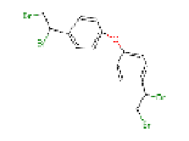 BrCC(Br)c1ccc(Oc2ccc(C(Br)CBr)cc2)cc1